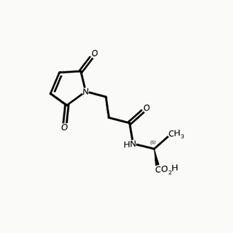 C[C@H](NC(=O)CCN1C(=O)C=CC1=O)C(=O)O